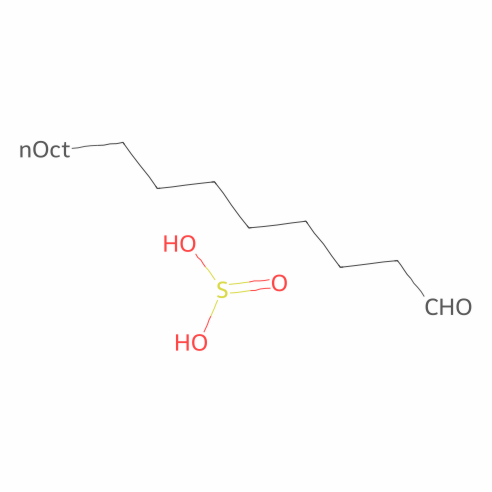 CCCCCCCCCCCCCCCC=O.O=S(O)O